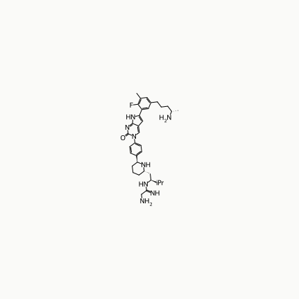 Cc1cc(CCC[C@H](C)N)cc(-c2cc3cn(-c4ccc([C@@H]5CCC[C@@H](C[C@H](NC(=N)CN)C(C)C)N5)cc4)c(=O)nc3[nH]2)c1F